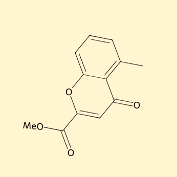 COC(=O)c1cc(=O)c2c(C)cccc2o1